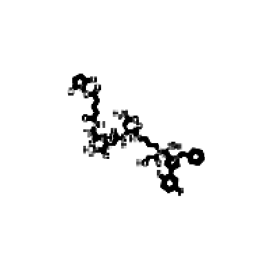 C[C@H](NC(=O)CCCC(=O)ON1C(=O)CCC1=O)C(=O)N[C@@H](CC(=O)N[C@@H](CC(N)=O)C(=O)NCCCN(C(=O)CO)[C@@H](c1cc(-c2cc(F)ccc2F)cn1Cc1ccccc1)C(C)(C)C)C(N)=O